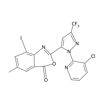 Cc1cc(I)c2nc(-c3cc(C(F)(F)F)nn3-c3ncccc3Cl)oc(=O)c2c1